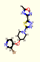 Cc1nc(-c2nnc(N3CCC(Oc4ccncc4Br)CC3)s2)no1